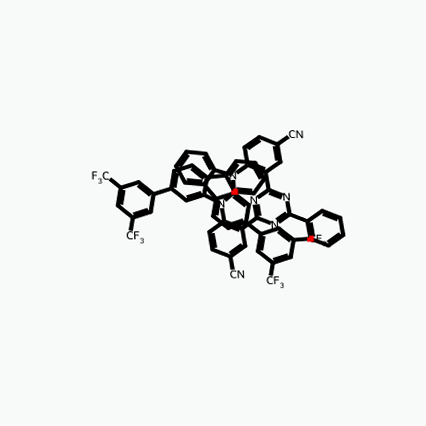 N#Cc1ccc(-n2c3ccccc3c3ccc(-c4cc(C(F)(F)F)cc(C(F)(F)F)c4)cc32)c(-c2nc(-c3ccccc3)nc(-c3cc(C#N)ccc3-n3c4ccccc4c4ccc(-c5cc(C(F)(F)F)cc(C(F)(F)F)c5)cc43)n2)c1